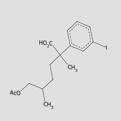 CC(=O)OCC(C)CCC(C)(C(=O)O)c1cccc(I)c1